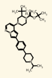 CC(C)N1CCC(c2ccc(-c3cc4c(N5CCN(C(=O)OC(C)(C)C)C(C(C)(C)C)C5)ccnn4c3)cc2)CC1